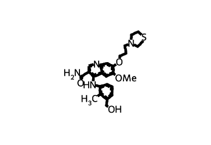 COc1cc2c(Nc3cccc(CO)c3C)c(C(N)=O)cnc2cc1OCCCN1CCSCC1